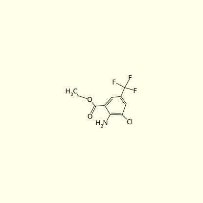 CCOC(=O)c1cc(C(F)(F)F)cc(Cl)c1N